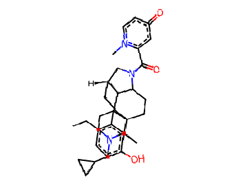 CCc1ccc(O)cc1C12CCN(CC3CC3)C(C)C13CCC1C2[C@@H](CN1C(=O)c1cc(=O)ccn1C)C3